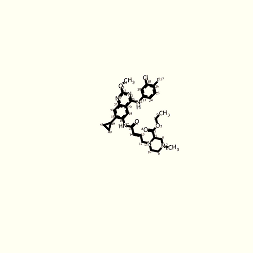 CCOC(=O)C1CN(C)CCN1CC=CC(=O)Nc1cc2c(Nc3ccc(F)c(Cl)c3)nc(OC)nc2cc1C1CC1